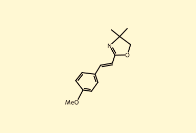 COc1ccc(C=CC2=NC(C)(C)CO2)cc1